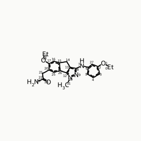 CCOc1cccc(Nc2nn(C)c3c2Cc2cc(OCC)c(CC(N)=O)cc2-3)c1